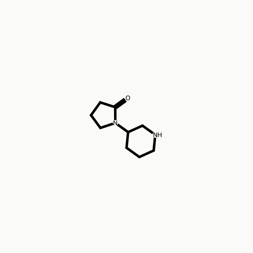 O=C1CCCN1C1CCCNC1